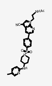 CC(=O)NCCn1cc(C#N)c2cc(-c3ccc(S(=O)(=O)N4CCC(Nc5ccc(C)cn5)CC4)cc3)cnc21